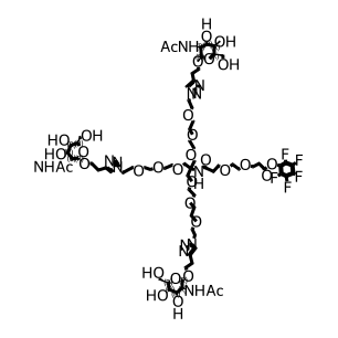 CC(=O)N[C@H]1[C@H](OCCc2cn(CCOCCOCCOCC(COCCOCCOCCn3cc(CCO[C@@H]4O[C@H](CO)[C@H](O)[C@H](O)[C@H]4NC(C)=O)nn3)(COCCOCCOCCn3cc(CCO[C@@H]4O[C@H](CO)[C@H](O)[C@H](O)[C@H]4NC(C)=O)nn3)NC(=O)CCOCCOCCC(=O)Oc3c(F)c(F)c(F)c(F)c3F)nn2)O[C@H](CO)[C@H](O)[C@@H]1O